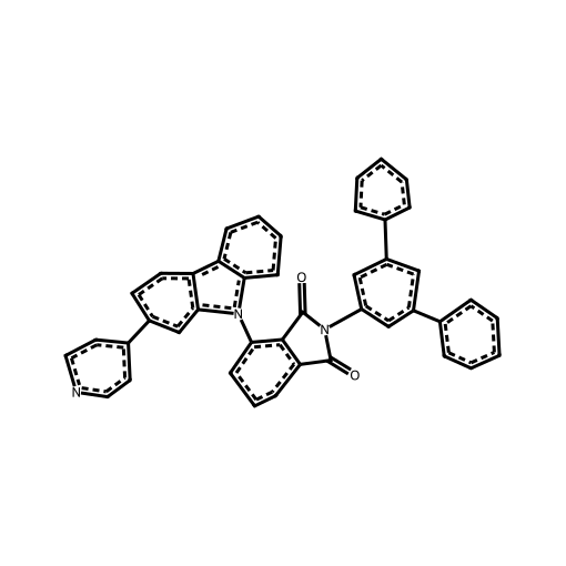 O=C1c2cccc(-n3c4ccccc4c4ccc(-c5ccncc5)cc43)c2C(=O)N1c1cc(-c2ccccc2)cc(-c2ccccc2)c1